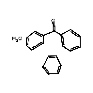 O.O=C(c1ccccc1)c1ccccc1.c1ccccc1